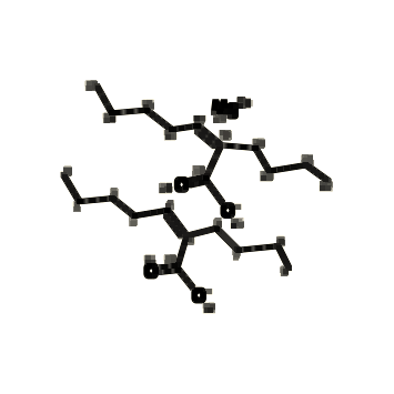 CCCC/C=C(/CCCC)C(=O)[O-].CCCC/C=C(/CCCC)C(=O)[O-].[Mg+2]